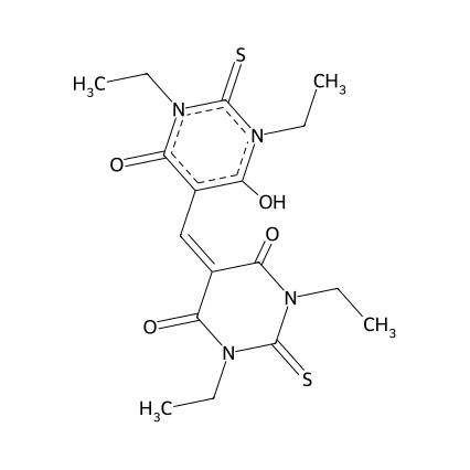 CCN1C(=O)C(=Cc2c(O)n(CC)c(=S)n(CC)c2=O)C(=O)N(CC)C1=S